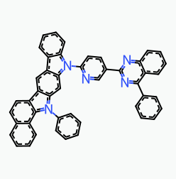 c1ccc(-c2nc(-c3ccc(-n4c5ccccc5c5cc6c7ccc8ccccc8c7n(-c7ccccc7)c6cc54)nc3)nc3ccccc23)cc1